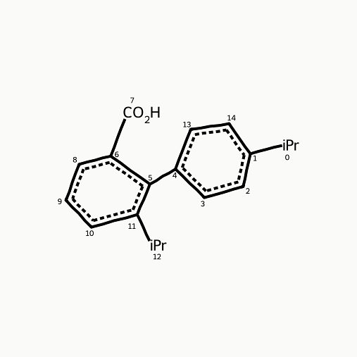 CC(C)c1ccc(-c2c(C(=O)O)cccc2C(C)C)cc1